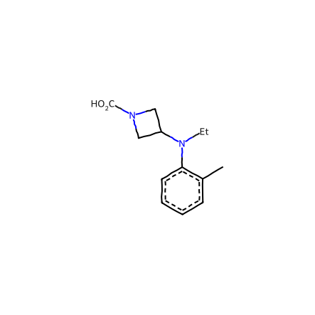 CCN(c1ccccc1C)C1CN(C(=O)O)C1